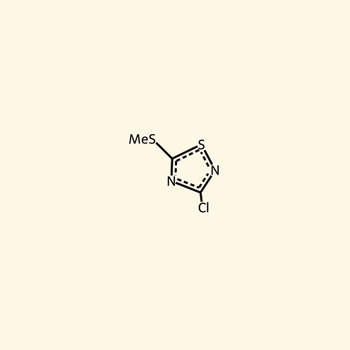 CSc1nc(Cl)ns1